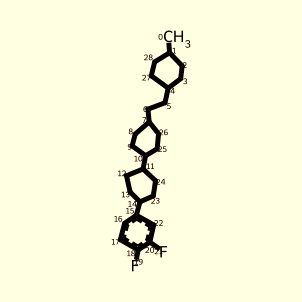 CC1CCC(CCC2CCC(C3CCC(c4ccc(F)c(F)c4)CC3)CC2)CC1